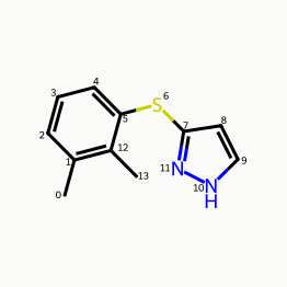 Cc1cccc(Sc2cc[nH]n2)c1C